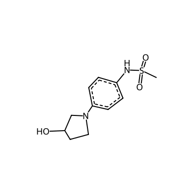 CS(=O)(=O)Nc1ccc(N2CCC(O)C2)cc1